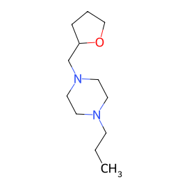 CCCN1CCN(CC2CCCO2)CC1